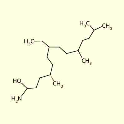 CCC(CCC(C)CCC(C)C)CC[C@H](C)CCC(N)O